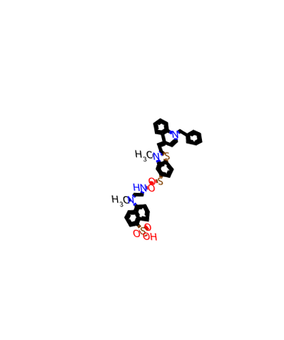 CN(CCNOOSc1ccc2sc(/C=C3\C=CN(Cc4ccccc4)c4ccccc43)[n+](C)c2c1)c1cccc2c(S(=O)(=O)O)cccc12